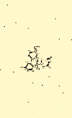 C#CCN(CC(=C)C)S(=O)(=O)c1ccc(C)cc1-c1ccc(OC)cc1